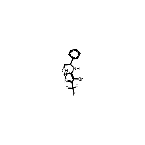 CCC(NC1=C(Br)C(C(F)(F)F)=N[N]1)c1ccccc1